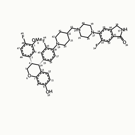 COc1cc([C@H]2COc3cc(O)ccc3[C@H]2c2ccc(N3CCC(CN4CCN(c5cc6c(cc5F)C(=O)NC6)CC4)CC3)c(F)c2)ccc1F